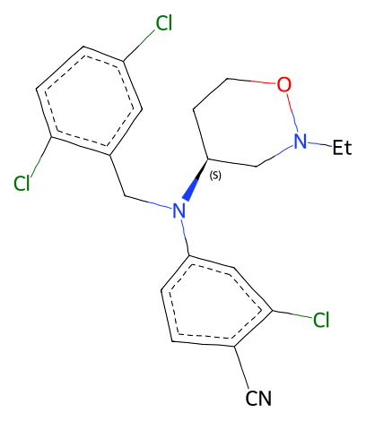 CCN1C[C@@H](N(Cc2cc(Cl)ccc2Cl)c2ccc(C#N)c(Cl)c2)CCO1